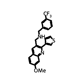 COc1ccc2cc(CNCc3cccc(C(F)(F)F)c3)c(-c3ccsc3)nc2c1